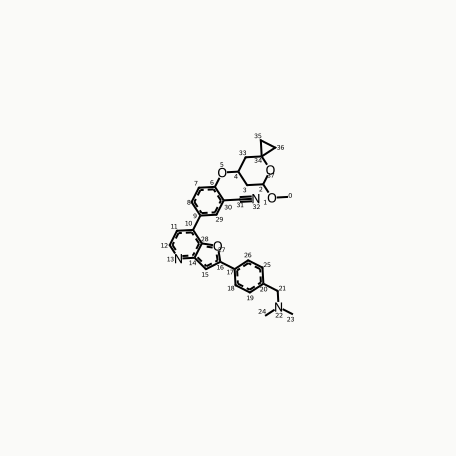 COC1CC(Oc2ccc(-c3ccnc4cc(-c5ccc(CN(C)C)cc5)oc34)cc2C#N)CC2(CC2)O1